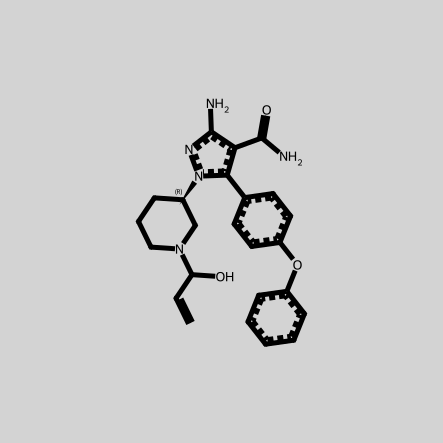 C=CC(O)N1CCC[C@@H](n2nc(N)c(C(N)=O)c2-c2ccc(Oc3ccccc3)cc2)C1